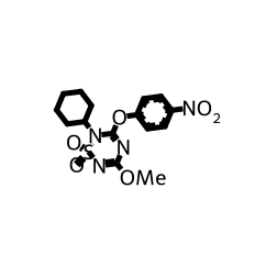 COC1=NS(=O)(=O)N(C2CCCCC2)C(Oc2ccc([N+](=O)[O-])cc2)=N1